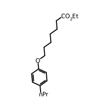 CCCc1ccc(OCCCCCCC(=O)OCC)cc1